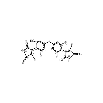 CCc1cc(Cc2cc(C)c(C3=C(C)C(=O)NC3=O)c(CC)c2)cc(C)c1C1=C(C)C(=O)NC1=O